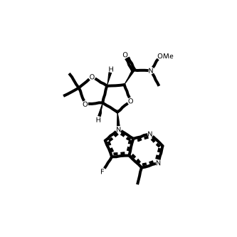 CON(C)C(=O)[C@H]1O[C@@H](n2cc(F)c3c(C)ncnc32)[C@@H]2OC(C)(C)O[C@@H]21